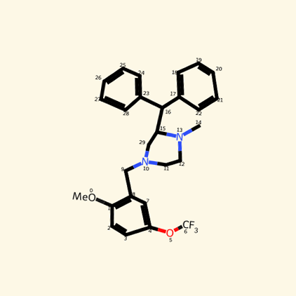 COc1ccc(OC(F)(F)F)cc1CN1CCN(C)C(C(c2ccccc2)c2ccccc2)C1